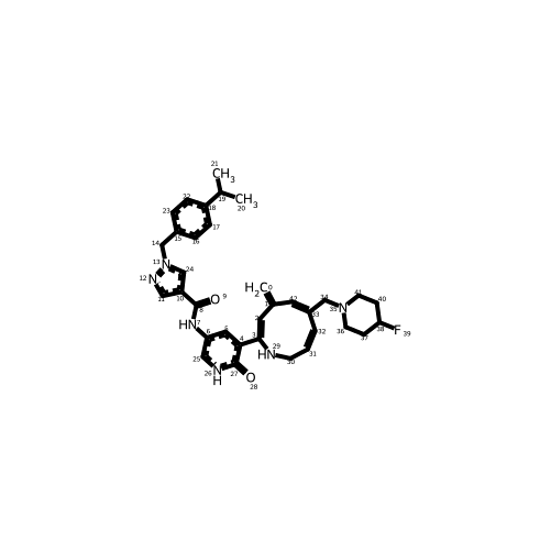 C=C1/C=C(/c2cc(NC(=O)c3cnn(Cc4ccc(C(C)C)cc4)c3)c[nH]c2=O)NC/C=C\C(CN2CCC(F)CC2)=C/1